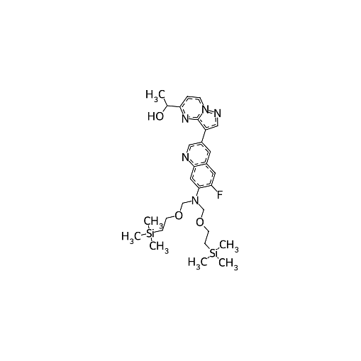 CC(O)c1ccn2ncc(-c3cnc4cc(N(COCC[Si](C)(C)C)COCC[Si](C)(C)C)c(F)cc4c3)c2n1